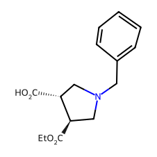 CCOC(=O)[C@@H]1CN(Cc2ccccc2)C[C@H]1C(=O)O